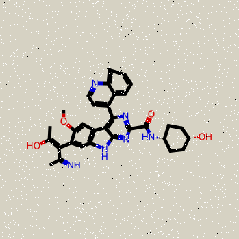 COc1cc2c(cc1/C(C(C)=N)=C(\C)O)[nH]c1nc(C(=O)N[C@H]3CC[C@@H](O)CC3)nc(-c3ccnc4ccccc34)c12